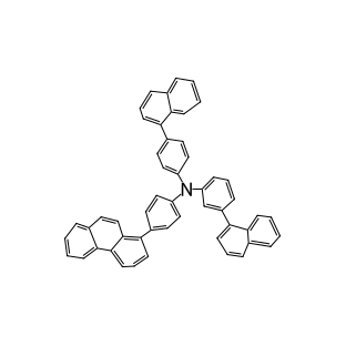 c1cc(-c2cccc3ccccc23)cc(N(c2ccc(-c3cccc4ccccc34)cc2)c2ccc(-c3cccc4c3ccc3ccccc34)cc2)c1